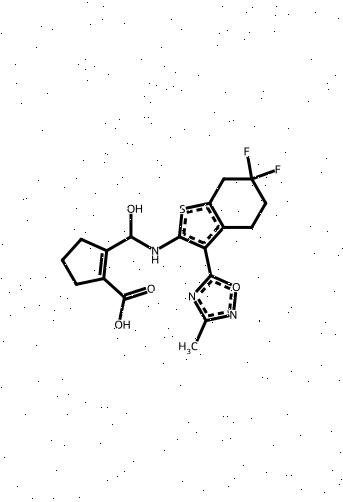 Cc1noc(-c2c(NC(O)C3=C(C(=O)O)CCC3)sc3c2CCC(F)(F)C3)n1